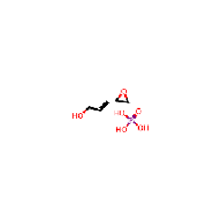 C1CO1.C=CCO.O=P(O)(O)O